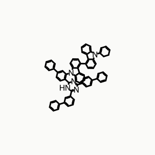 C1=CCCC(n2c3ccccc3c3c(-c4cccc5c4c4ccccc4n5-c4cc(-c5ccccc5)ccc4C4N=C(c5ccc(-c6ccccc6)cc5)N=C(c5cccc(-c6ccccc6)c5)N4)cccc32)=C1